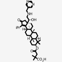 CC(C)C1=C2[C@H]3CC[C@@H]4[C@@]5(C)CC[C@H](OC(=O)CC(C)(C)C(=O)O)C(C)(C)[C@@H]5CC[C@@]4(C)[C@]3(C)CC[C@@]2([C@@H](O)CNCc2cncnc2)CC1=O